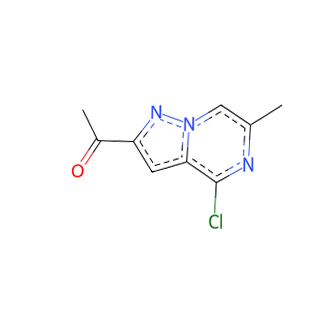 CC(=O)c1cc2c(Cl)nc(C)cn2n1